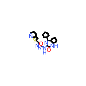 O=C1Nc2ccccc2C(c2ccccc2)=N[C@@H]1Nc1nnc(-c2cc3cccnc3s2)o1